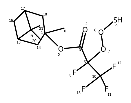 CC1(OC(=O)C(F)(OOS)C(F)(F)F)CC2CC(C1)C2(C)C